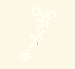 CO[Si](CCCNC(=O)Oc1ccc(P(=O)(C(=O)c2ccccc2)C(=O)c2ccccc2)cc1)(OC)OC